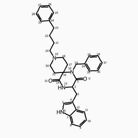 O=C1C(Cc2c[nH]c3ccccc23)NC(=O)C2(CCN(CCCCc3ccccc3)CC2)N1Cc1ccccc1